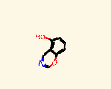 Oc1cccc2c1CN=CO2